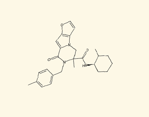 Cc1ccc(CN2C(=O)c3cc4occc4n3CC2(C)C(=O)N[C@@H]2CCCCC2C)cc1